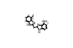 Nc1cccc2[nH]c(Cc3nc4c(F)cccc4[nH]3)nc12